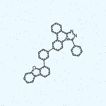 c1ccc(-c2nnc3c4ccccc4c4cc(-c5cccc(-c6cccc7c6oc6ccccc67)c5)ccc4n23)cc1